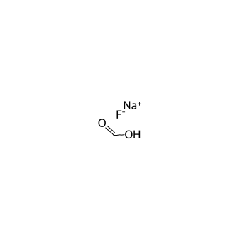 O=CO.[F-].[Na+]